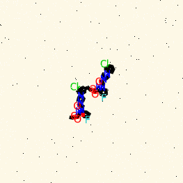 CCOC(=O)c1nn(CC(=O)N2CCN(c3cc(CCOC(=O)c4nn(CC(=O)N5CCN(c6cccc(Cl)c6C)CC5)c5c4CC(F)CC5)cc(Cl)c3C)CC2)c2c1CC(F)CC2